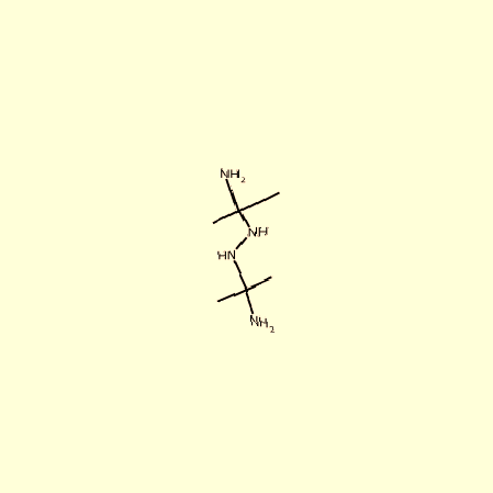 CC(C)(N)NNC(C)(C)N